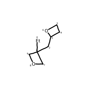 CCC1(CC2CCO2)COC1